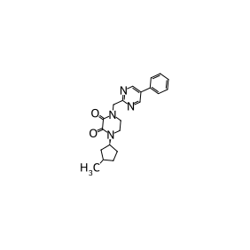 CC1CC[C@H](N2CCN(Cc3ncc(-c4ccccc4)cn3)C(=O)C2=O)C1